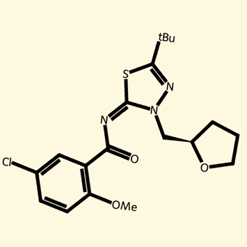 COc1ccc(Cl)cc1C(=O)N=c1sc(C(C)(C)C)nn1C[C@H]1CCCO1